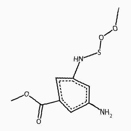 COOSNc1cc(N)cc(C(=O)OC)c1